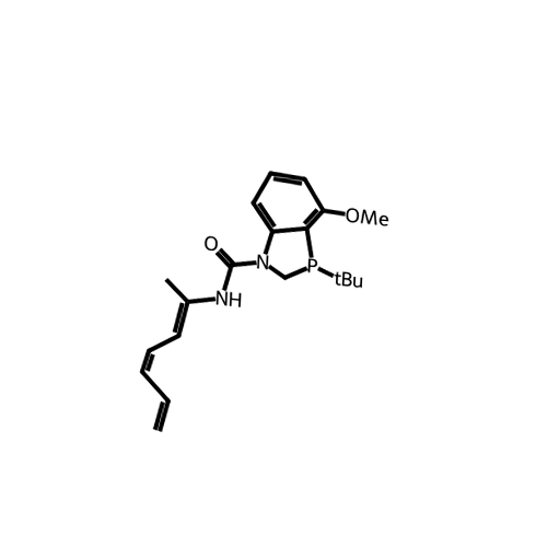 C=C/C=C\C=C(/C)NC(=O)N1CP(C(C)(C)C)c2c(OC)cccc21